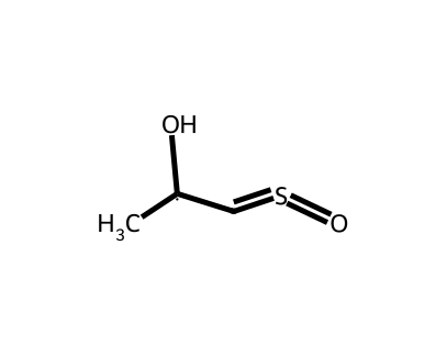 C[C](O)C=S=O